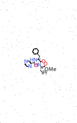 COC(=O)[C@H](CC(C)C)NC(=O)[C@H](Cc1ccccc1)NC(=O)c1cnccn1